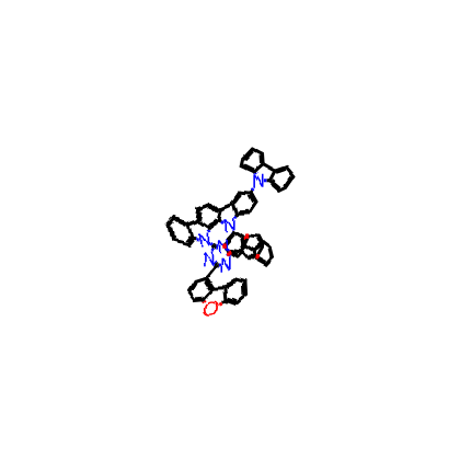 c1ccc(-c2cccc(-n3c4ccc(-n5c6ccccc6c6ccccc65)cc4c4ccc5c6ccccc6n(-c6nc(-c7ccccc7)nc(-c7cccc8oc9ccccc9c78)n6)c5c43)c2)cc1